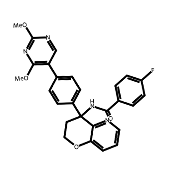 COc1ncc(-c2ccc(C3(NC(=O)c4ccc(F)cc4)CCOc4cccnc43)cc2)c(OC)n1